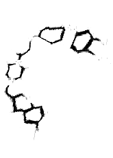 O=[N+]([O-])c1ccc(N[C@H]2CC[C@H](OCC(=S)N3CCN(CC4Cc5cc(F)ccc5O4)CC3)CC2)cc1C(F)(F)F